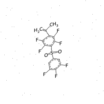 C=C(C)c1c(F)c(F)c(S(=O)(=O)c2cc(F)c(F)c(F)c2)c(F)c1F